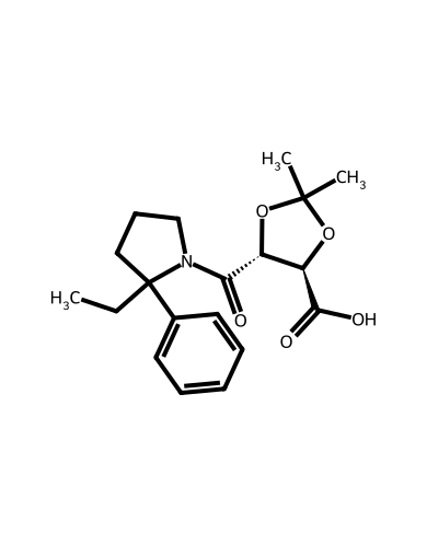 CCC1(c2ccccc2)CCCN1C(=O)[C@@H]1OC(C)(C)O[C@H]1C(=O)O